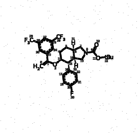 C=C(O[C@H]1CC[C@H]2CN(C(=O)OC(C)(C)C)C[C@H]2[C@@H]1c1ccc(F)cc1)c1cc(C(F)(F)F)cc(C(F)(F)F)c1